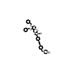 CC(C)N1C(=O)N(Cc2ncnc(OCc3ccccc3)c2OCc2ccccc2)CC1c1ccc(C#Cc2ccc(CN3CC[S+]([O-])CC3)cc2)cc1